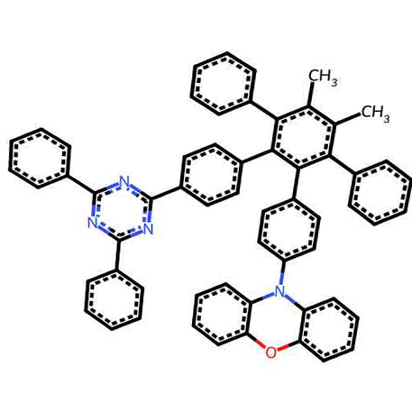 Cc1c(C)c(-c2ccccc2)c(-c2ccc(N3c4ccccc4Oc4ccccc43)cc2)c(-c2ccc(-c3nc(-c4ccccc4)nc(-c4ccccc4)n3)cc2)c1-c1ccccc1